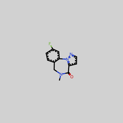 CN1Cc2ccc(F)cc2-n2nccc2C1=O